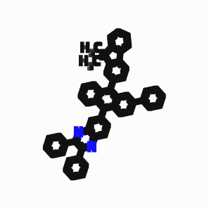 CC1(C)c2ccccc2-c2ccc(-c3c4ccccc4c(-c4ccc5nc(-c6ccccc6)c(-c6ccccc6)nc5c4)c4ccc(-c5ccccc5)cc34)cc21